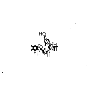 [2H]C([2H])(C)c1nc(Nc2ncc(C(=O)Nc3c(Cl)cc(C)c(C)c3CC)s2)cc(N2CCN(CCO)CC2C)n1